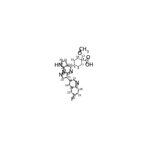 COCC1(C(=O)O)CCC(c2nc3c(-c4cnc5ccc(F)cc5c4)cnn3c3[nH]ccc23)CC1